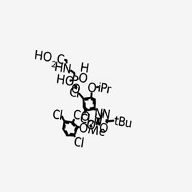 CC(C)Oc1cc(-n2nc(C(C)(C)C)oc2=O)c(Cl)cc1Cl.COc1c(Cl)ccc(Cl)c1C(=O)O.O=C(O)CNCP(=O)(O)O